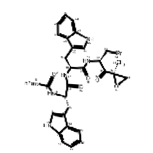 CCCCCC(=O)N[C@@H](Cc1c[nH]c2ccccc12)C(=O)N[C@@H](Cc1c[nH]c2ccccc12)C(=O)N[C@@H](CC(C)C)C(=O)[C@@]1(C)CO1